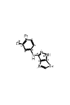 Fc1ccc(Nc2n[nH]c3scnc23)cc1Cl